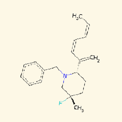 C=C(/C=C\C=C/C)[C@@H]1CC[C@](C)(F)CN1Cc1ccccc1